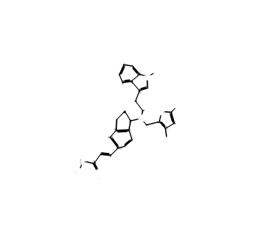 Cc1cc(C)c(CN(CCc2cn(C)c3ccccc23)C2CCc3cc(/C=C/C(=O)NO)ccc32)[nH]1